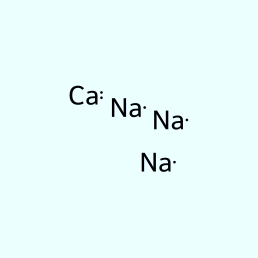 [Ca].[Na].[Na].[Na]